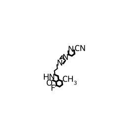 Cc1ccc(F)c2c(=O)[nH]c(CCCN3C=C4CC3CN4c3ccc(C#N)nc3)cc12